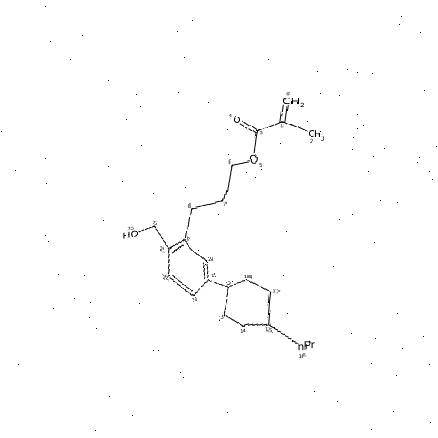 C=C(C)C(=O)OCCCc1cc(C2CCC(CCC)CC2)ccc1CO